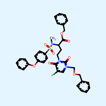 CN(C(CCn1c(=O)c(F)cn(COCc2ccccc2)c1=O)C(=O)OCc1ccccc1)S(=O)(=O)c1ccc(Oc2ccccc2)cc1